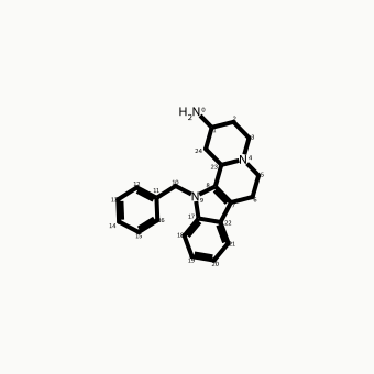 NC1CCN2CCc3c(n(Cc4ccccc4)c4ccccc34)C2C1